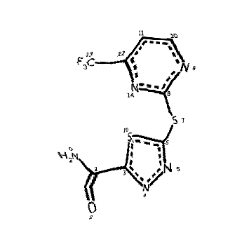 NC(=O)c1nnc(Sc2nccc(C(F)(F)F)n2)s1